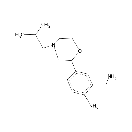 C[C](C)CN1CCOC(c2ccc(N)c(CN)c2)C1